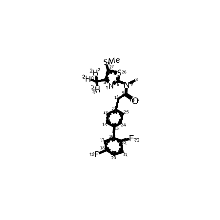 [2H]C([2H])([2H])c1nc(N(C)C(=O)Cc2ccc(-c3cc(F)ccc3F)cc2)sc1SC